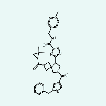 Cc1ccc(CNC(=O)c2coc(C3CN(C(=O)c4cnn(Cc5ccccc5)c4)CC34CN(C(=O)[C@H]3CC3(C)C)C4)n2)nn1